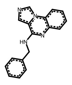 c1ccc(CNc2nc3ccccc3n3cncc23)cc1